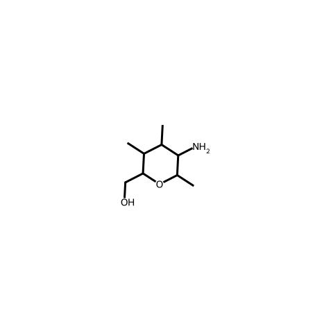 CC1OC(CO)C(C)C(C)C1N